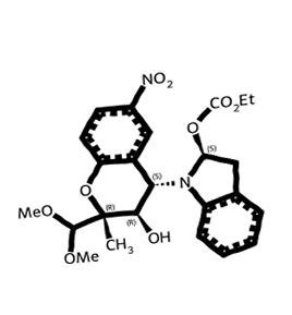 CCOC(=O)O[C@H]1Cc2ccccc2N1[C@H]1c2cc([N+](=O)[O-])ccc2O[C@@](C)(C(OC)OC)[C@@H]1O